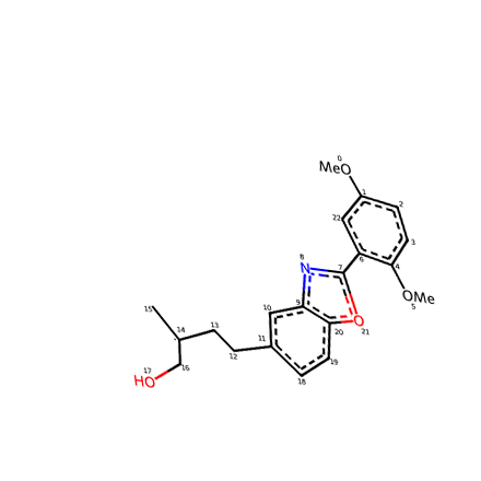 COc1ccc(OC)c(-c2nc3cc(CC[C](C)CO)ccc3o2)c1